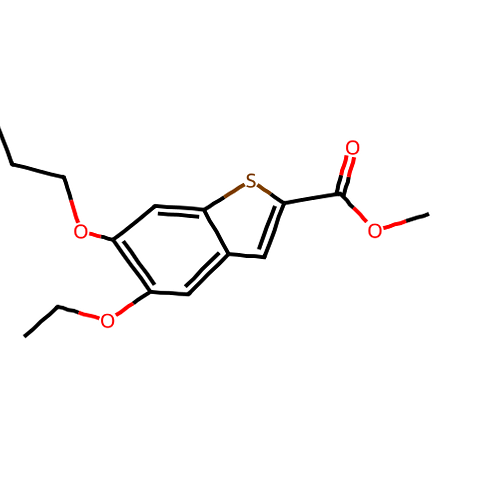 CCCOc1cc2sc(C(=O)OC)cc2cc1OCC